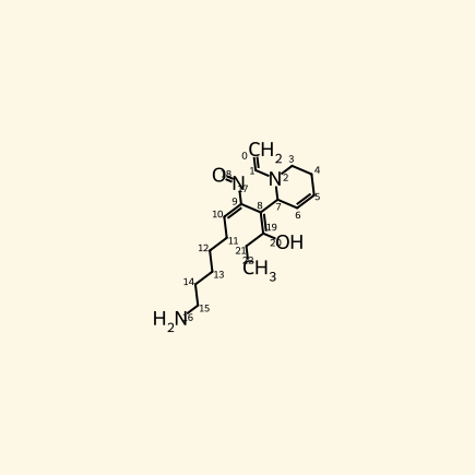 C=CN1CCC=CC1C(/C(=C\CCCCCN)N=O)=C(\O)CC